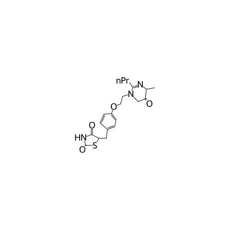 CCCC1=NC(C)C(=O)CN1CCOc1ccc(CC2SC(=O)NC2=O)cc1